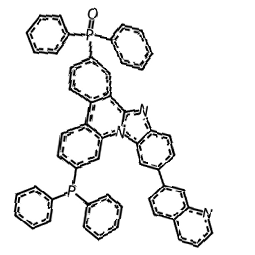 O=P(c1ccccc1)(c1ccccc1)c1ccc2c3ccc(P(c4ccccc4)c4ccccc4)cc3n3c4cc(-c5ccc6cccnc6c5)ccc4nc3c2c1